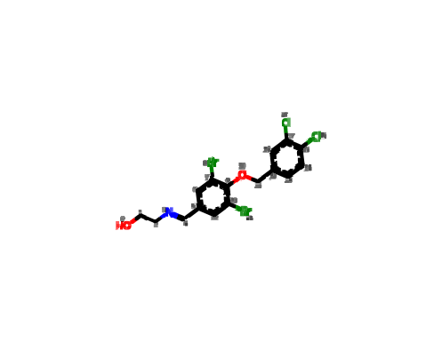 OCCN=Cc1cc(Br)c(OCc2ccc(Cl)c(Cl)c2)c(Br)c1